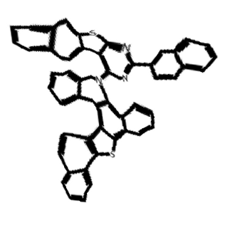 c1ccc2cc(-c3nc(-n4c5ccccc5c5c6c7ccc8ccccc8c7sc6c6ccccc6c54)c4c(n3)sc3cc5ccccc5cc34)ccc2c1